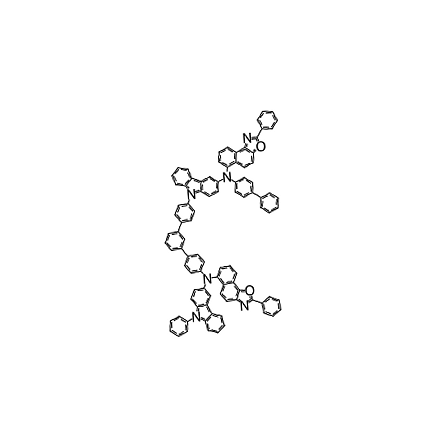 c1ccc(-c2ccc(N(c3ccc4c(c3)c3ccccc3n4-c3ccc(-c4cccc(-c5ccc(N(c6ccc7c(c6)c6ccccc6n7-c6ccccc6)c6cccc7c6ccc6nc(-c8ccccc8)oc67)cc5)c4)cc3)c3cccc4c3ccc3oc(-c5ccccc5)nc34)cc2)cc1